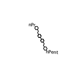 CCCCCC1CCC(CCc2ccc(-c3ccc(CCC4CCC(CCC)CC4)cc3)cc2)CC1